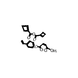 C=Cc1ccccc1.O=C(O)/C=C\C(=O)O.O=C(OC(=O)C1=CCC1)C1=CCC1